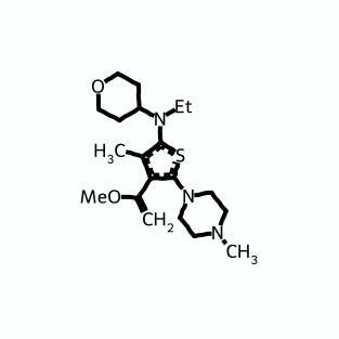 C=C(OC)c1c(N2CCN(C)CC2)sc(N(CC)C2CCOCC2)c1C